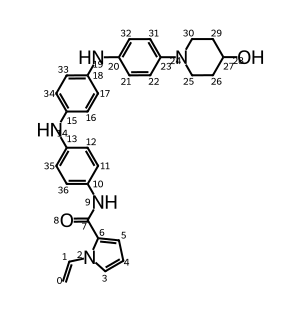 C=Cn1cccc1C(=O)Nc1ccc(Nc2ccc(Nc3ccc(N4CCC(O)CC4)cc3)cc2)cc1